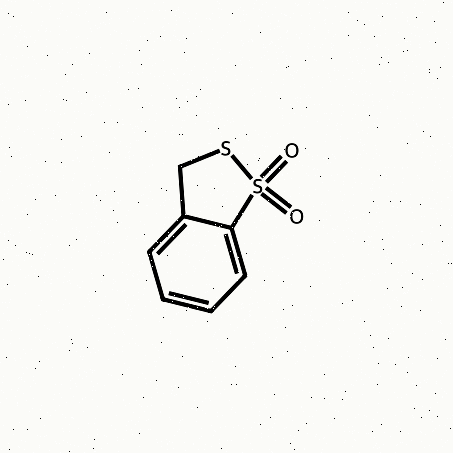 O=S1(=O)SCc2ccccc21